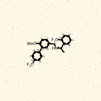 COc1ccc(CNC(C)c2ccccc2C(F)(F)F)cc1-c1ccc(C(F)(F)F)cc1